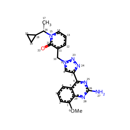 COc1cccc2c(-c3cn(Cc4cccn([C@@H](C)C5CC5)c4=O)nn3)nc(N)nc12